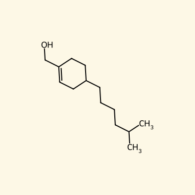 CC(C)CCCCC1CC=C(CO)CC1